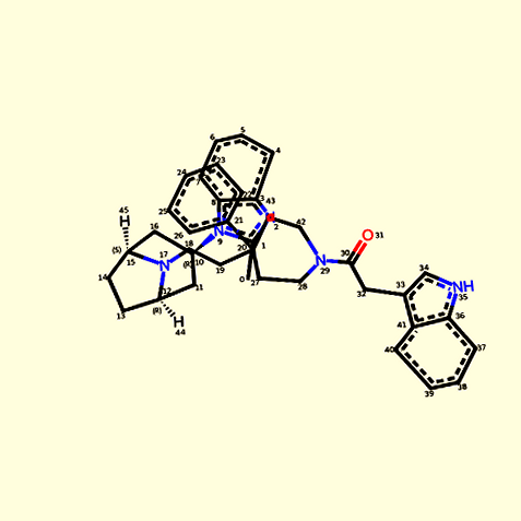 Cc1nc2ccccc2n1[C@H]1C[C@H]2CC[C@@H](C1)N2CCC1(c2ccccc2)CCN(C(=O)Cc2c[nH]c3ccccc23)CC1